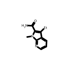 CCc1c(C(N)=O)n(C)c2ncccc12